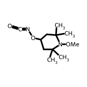 CON1C(C)(C)CC(ON=C=O)CC1(C)C